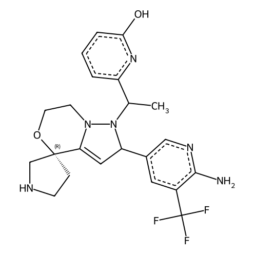 CC(c1cccc(O)n1)N1C(c2cnc(N)c(C(F)(F)F)c2)C=C2N1CCO[C@@]21CCNC1